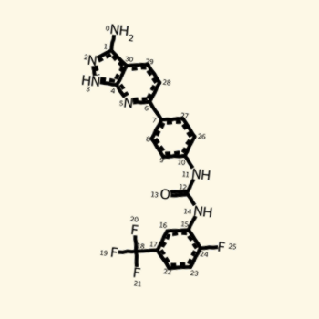 Nc1n[nH]c2nc(-c3ccc(NC(=O)Nc4cc(C(F)(F)F)ccc4F)cc3)ccc12